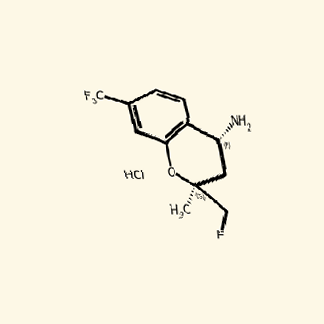 C[C@@]1(CF)C[C@@H](N)c2ccc(C(F)(F)F)cc2O1.Cl